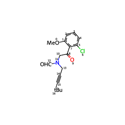 COc1cccc(Cl)c1C(=O)CN(C=O)CC#CC(C)(C)C